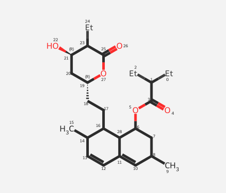 CCC(CC)C(=O)OC1CC(C)C=C2C=CC(C)C(CC[C@@H]3C[C@@H](O)C(CC)C(=O)O3)C21